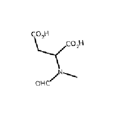 CN(C=O)C(CC(=O)O)C(=O)O